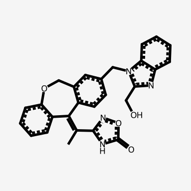 C/C(=C1/c2ccc(Cn3c(CO)nc4ccccc43)cc2COc2ccccc21)c1noc(=O)[nH]1